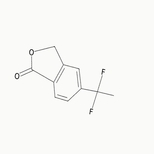 CC(F)(F)c1ccc2c(c1)COC2=O